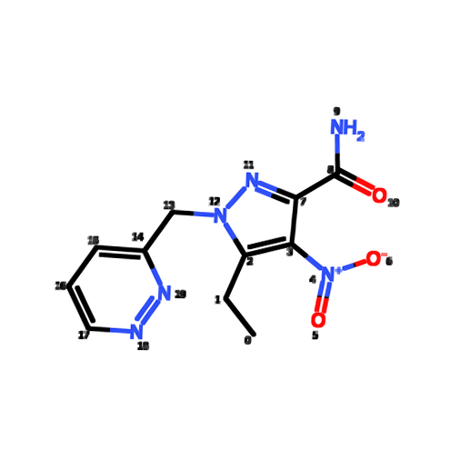 CCc1c([N+](=O)[O-])c(C(N)=O)nn1Cc1cccnn1